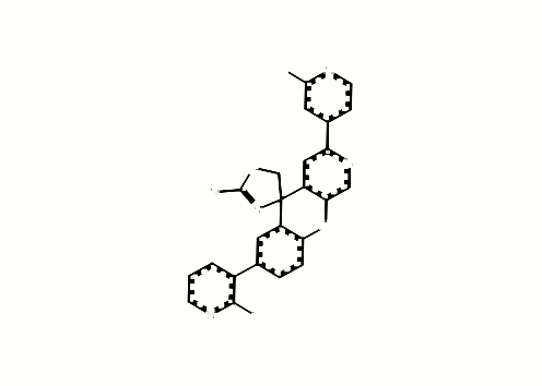 NC1=NC2(CS1)c1cc(-c3cccnc3F)ccc1Oc1cnc(-c3ccnc(F)c3)cc12